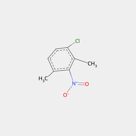 Cc1ccc(Cl)c(C)c1[N+](=O)[O-]